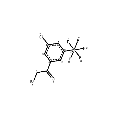 O=C(CBr)c1cc(Cl)cc(S(F)(F)(F)(F)F)c1